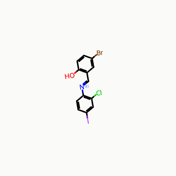 Oc1ccc(Br)cc1/C=N/c1ccc(I)cc1Cl